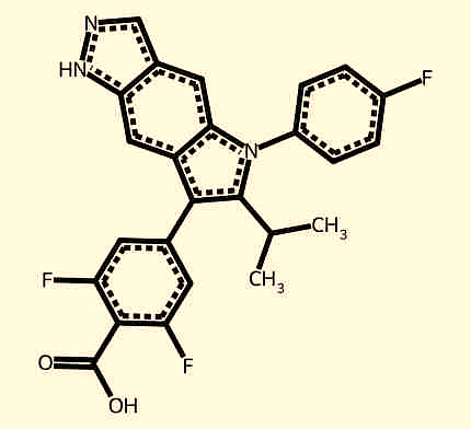 CC(C)c1c(-c2cc(F)c(C(=O)O)c(F)c2)c2cc3[nH]ncc3cc2n1-c1ccc(F)cc1